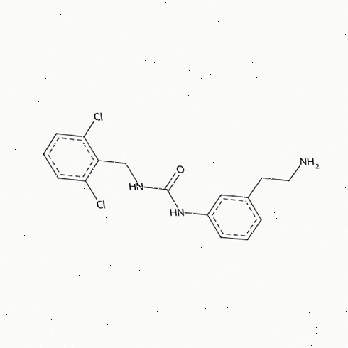 NCCc1cccc(NC(=O)NCc2c(Cl)cccc2Cl)c1